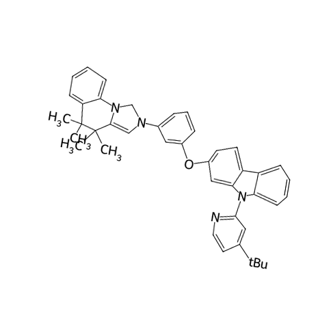 CC(C)(C)c1ccnc(-n2c3ccccc3c3ccc(Oc4cccc(N5C=C6N(C5)c5ccccc5C(C)(C)C6(C)C)c4)cc32)c1